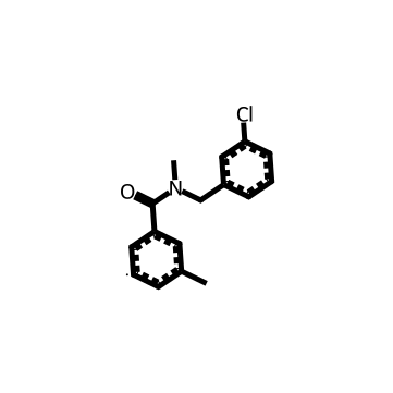 Cc1c[c]cc(C(=O)N(C)Cc2cccc(Cl)c2)c1